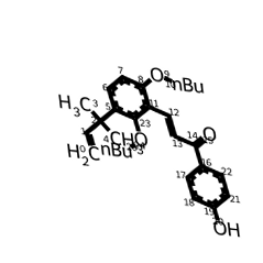 C=CC(C)(C)c1ccc(OCCCC)c(C=CC(=O)c2ccc(O)cc2)c1OCCCC